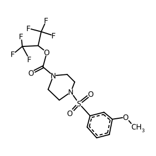 COc1cccc(S(=O)(=O)N2CCN(C(=O)OC(C(F)(F)F)C(F)(F)F)CC2)c1